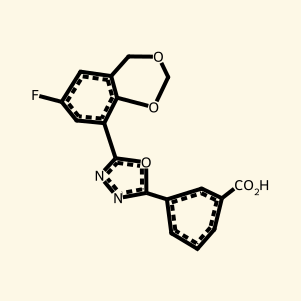 O=C(O)c1cccc(-c2nnc(-c3cc(F)cc4c3OCOC4)o2)c1